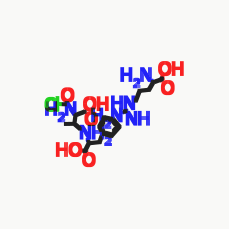 CC(C)C(N)C(=O)O.N=C(N)NCCCC(N)C(=O)O.NC(Cc1ccccc1)C(=O)O.O=CCl